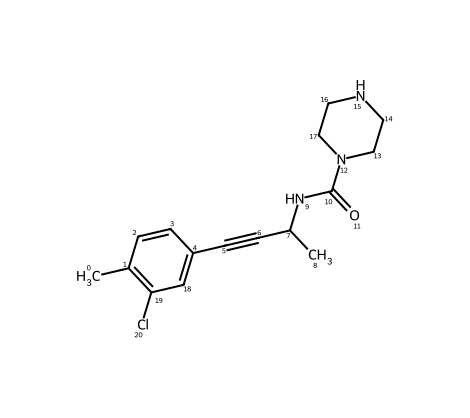 Cc1ccc(C#CC(C)NC(=O)N2CCNCC2)cc1Cl